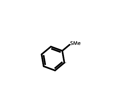 CSc1[c]cccc1